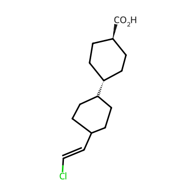 O=C(O)[C@H]1CC[C@H](C2CCC(/C=C/Cl)CC2)CC1